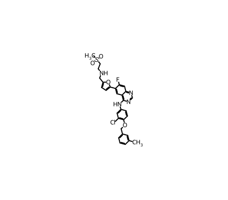 Cc1cccc(COc2ccc(Nc3ncnc4cc(F)c(-c5ccc(CNCCS(C)(=O)=O)o5)cc34)cc2Cl)c1